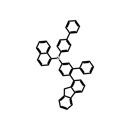 c1ccc(-c2ccc(N(c3ccc(-c4cccc5c4Cc4ccccc4-5)c(-c4ccccc4)c3)c3cccc4ccccc34)cc2)cc1